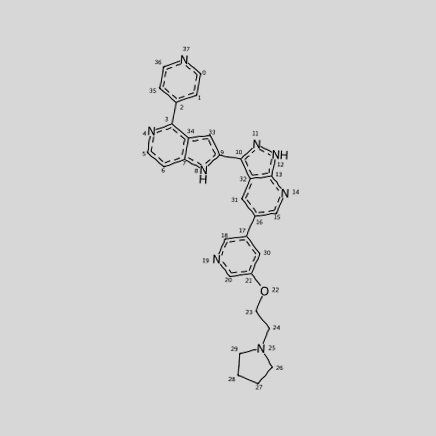 c1cc(-c2nccc3[nH]c(-c4n[nH]c5ncc(-c6cncc(OCCN7CCCC7)c6)cc45)cc23)ccn1